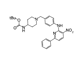 CC(C)(C)OC(=O)NC1CCN(Cc2ccc(Nc3nc(-c4ccccc4)ccc3[N+](=O)[O-])cc2)CC1